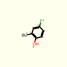 CCC(C)c1cc(F)ccc1O